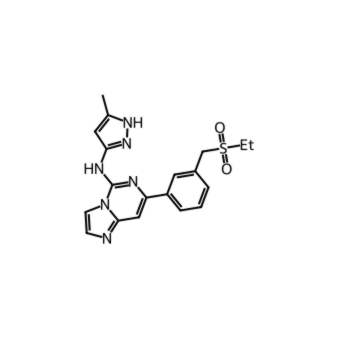 CCS(=O)(=O)Cc1cccc(-c2cc3nccn3c(Nc3cc(C)[nH]n3)n2)c1